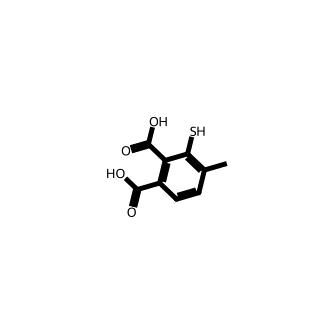 Cc1ccc(C(=O)O)c(C(=O)O)c1S